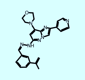 C=C(C)c1cccc(/C=N\Nc2cc(N3CCOCC3)c3nc(-c4ccncc4)cn3n2)c1